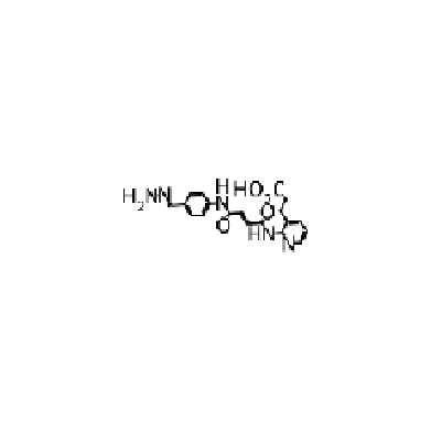 NN=Cc1ccc(NC(=O)C=CC(=O)Nc2ncccc2CCC(=O)O)cc1